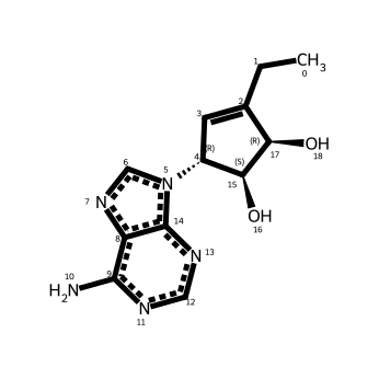 CCC1=C[C@@H](n2cnc3c(N)ncnc32)[C@H](O)[C@@H]1O